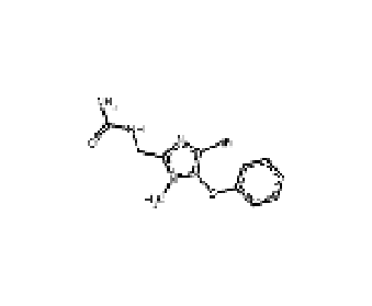 CC(C)c1nc(CNC(N)=O)n(C)c1Sc1ccccc1